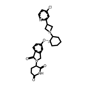 O=C1CCC(N2Cc3cc(O[C@H]4CCCCC4N4CC(c5cc(Cl)ccn5)C4)ccc3C2=O)C(=O)N1